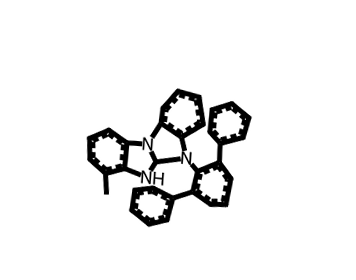 Cc1cccc2c1NC1N2c2ccccc2N1c1c(-c2ccccc2)cccc1-c1ccccc1